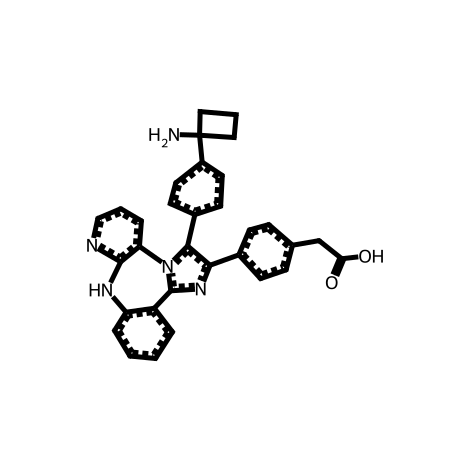 NC1(c2ccc(-c3c(-c4ccc(CC(=O)O)cc4)nc4n3-c3cccnc3Nc3ccccc3-4)cc2)CCC1